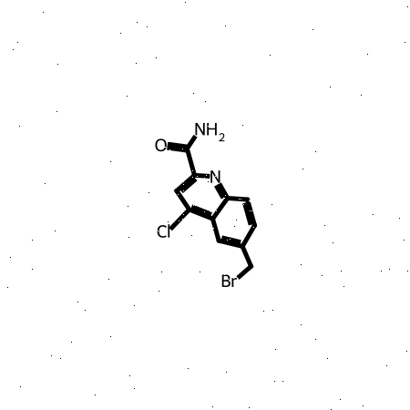 NC(=O)c1cc(Cl)c2cc(CBr)ccc2n1